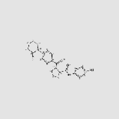 O=C(Nc1ccc(Cl)cc1)C1CCCN1C(=O)c1ccc(N2CCCCC2=O)cc1